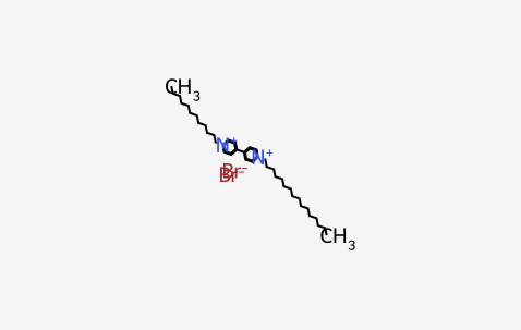 CCCCCCCCCCCCCCCC[n+]1ccc(-c2cc[n+](CCCCCCCCCCCC)cc2)cc1.[Br-].[Br-]